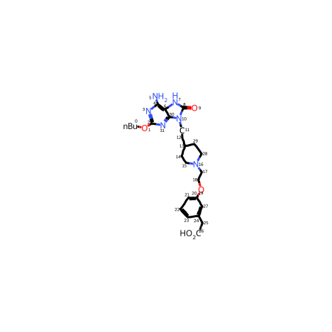 CCCCOc1nc(N)c2[nH]c(=O)n(CCC3CCN(CCOc4cccc(CC(=O)O)c4)CC3)c2n1